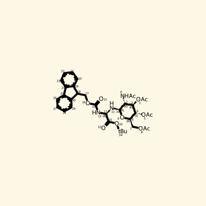 CC(=O)N[C@@H]1[C@@H](OC(C)=O)[C@H](OC(C)=O)[C@@H](COC(C)=O)O[C@H]1N[C@H](NC(=O)OCC1c2ccccc2-c2ccccc21)C(=O)OC(C)(C)C